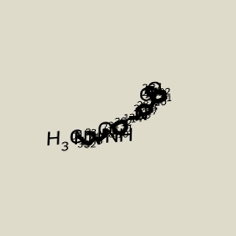 CN1CCN(CC(=O)N[C@H]2CC[C@H](CCN3CCC(c4cccc5c4OCO5)CC3)CC2)CC1